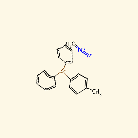 C=[N+]=[N-].Cc1ccc([S+](c2ccccc2)c2ccccc2)cc1